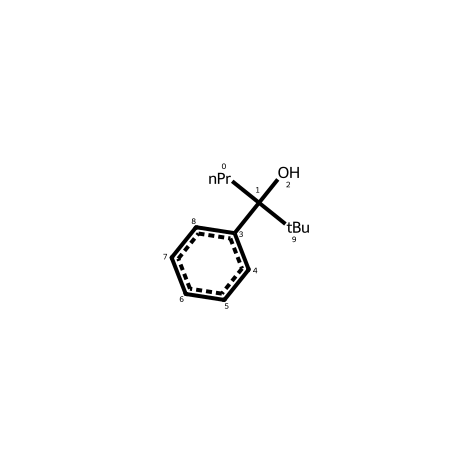 CCCC(O)(c1ccccc1)C(C)(C)C